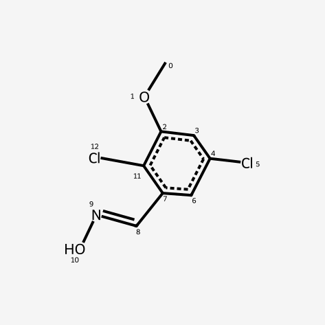 COc1cc(Cl)cc(C=NO)c1Cl